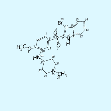 COc1ccc(S(=O)(=O)c2[nH]c3ccccc3c2Br)cc1NC1CCN(C)CC1